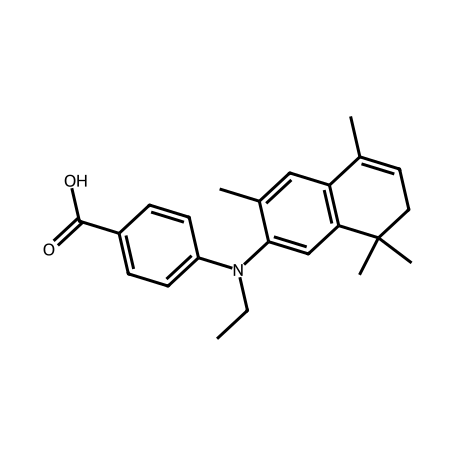 CCN(c1ccc(C(=O)O)cc1)c1cc2c(cc1C)C(C)=CCC2(C)C